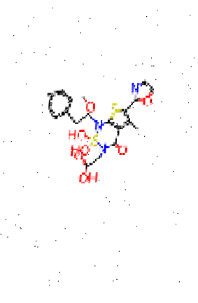 COC(Cc1ccccc1)N1c2sc(-c3ncco3)c(C)c2C(=O)N(CC(=O)O)S1(O)O